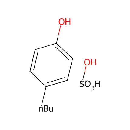 CCCCc1ccc(O)cc1.O=S(=O)(O)O